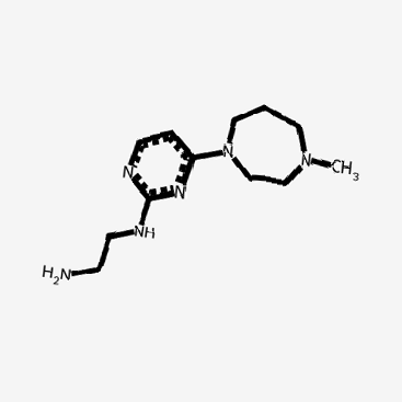 CN1CCCN(c2ccnc(NCCN)n2)CC1